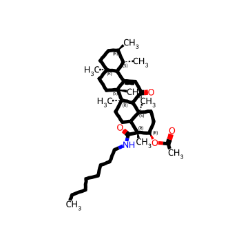 CCCCCCCCNC(=O)[C@]1(C)C2CC[C@]3(C)C(C(=O)C=C4C5[C@@H](C)[C@H](C)CC[C@]5(C)CC[C@]43C)[C@@]2(C)CC[C@H]1OC(C)=O